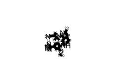 CCOc1cc(-c2nncn2C)ccc1NN1C=Cc2cc(C)nc(N3CC(C#N)C3(C)C)c2C1